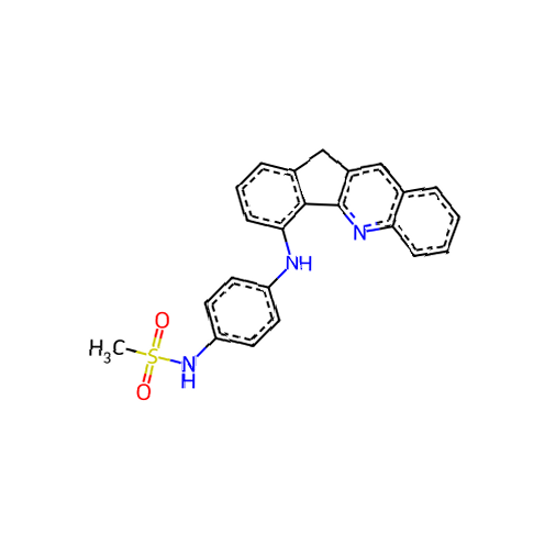 CS(=O)(=O)Nc1ccc(Nc2cccc3c2-c2nc4ccccc4cc2C3)cc1